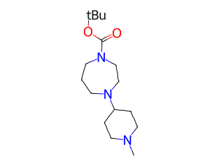 CN1CCC(N2CCCN(C(=O)OC(C)(C)C)CC2)CC1